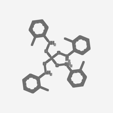 Cc1ccccc1[SiH2]O[Si](O[SiH2]c1ccccc1C)(O[SiH2]c1ccccc1C)O[SiH2]c1ccccc1C